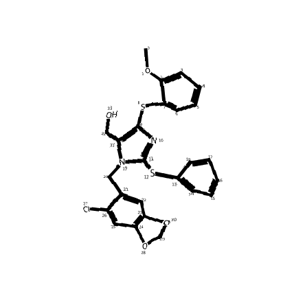 COc1ccccc1Sc1nc(Sc2ccccc2)n(Cc2cc3c(cc2Cl)OCO3)c1CO